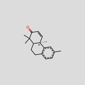 Cc1ccc2c(c1)[C@]1(C)C=CC(=O)C(C)(C)C1CC2